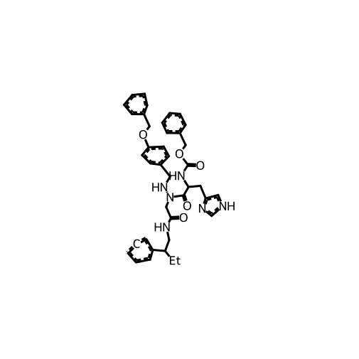 CCC(CNC(=O)CN(NCc1ccc(OCc2ccccc2)cc1)C(=O)C(Cc1c[nH]cn1)NC(=O)OCc1ccccc1)c1ccccc1